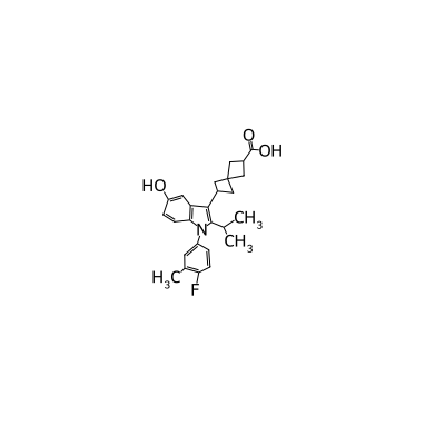 Cc1cc(-n2c(C(C)C)c(C3CC4(CC(C(=O)O)C4)C3)c3cc(O)ccc32)ccc1F